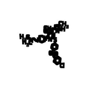 COc1c(Nc2cc(C)[nH]n2)nc(Sc2ccc(S(=O)(=O)Cc3ccc(Cl)cc3)cc2)nc1N1CCN(CCN(C)C)CC1